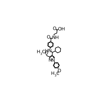 COCc1nn(-c2ccc(OC)cc2)cc1C(Nc1ccc(C(=O)NCCC(=O)O)cc1)C1CCCCC1